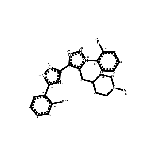 CC(=O)N1CCC(Cc2c(-c3nc(-c4ccccc4F)no3)nnn2-c2ccccc2F)CC1